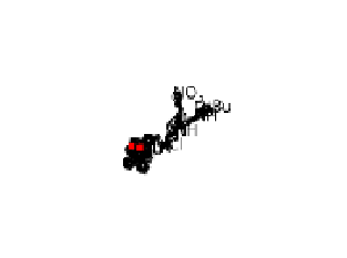 CCCCc1nc(Cl)c(COC(=O)N[C@@H](CCCCNC(=O)OC(C)(C)C)C(=O)OCCCCO[N+](=O)[O-])n1Cc1ccc(-c2ccccc2-c2nnnn2C(c2ccccc2)(c2ccccc2)c2ccccc2)cc1